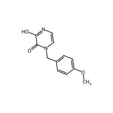 COc1ccc(Cn2ccnc(O)c2=O)cc1